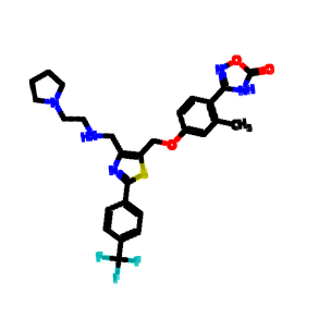 Cc1cc(OCc2sc(-c3ccc(C(F)(F)F)cc3)nc2CNCCN2CCCC2)ccc1-c1noc(=O)[nH]1